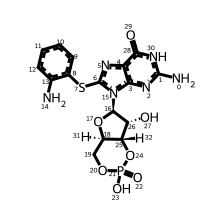 Nc1nc2c(nc(Sc3ccccc3N)n2[C@@H]2O[C@@H]3COP(=O)(O)O[C@H]3[C@H]2O)c(=O)[nH]1